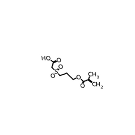 C=C(C)C(=O)OCCCS(=O)(=O)CC(=O)O